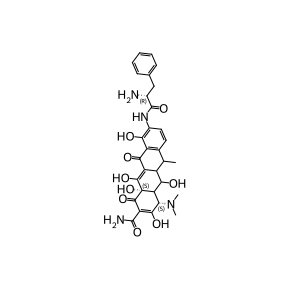 CC1c2ccc(NC(=O)[C@H](N)Cc3ccccc3)c(O)c2C(=O)C2=C(O)[C@]3(O)C(=O)C(C(N)=O)=C(O)[C@@H](N(C)C)C3C(O)C21